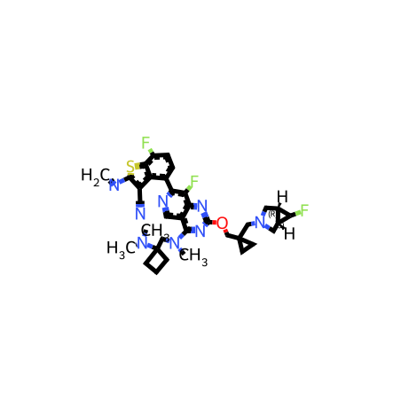 C=Nc1sc2c(F)ccc(-c3ncc4c(N(C)CC5(N(C)C)CCC5)nc(OCC5(CN6C[C@@H]7C(F)[C@@H]7C6)CC5)nc4c3F)c2c1C#N